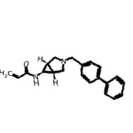 C=CC(=O)N[C@H]1[C@@H]2CN(Cc3ccc(-c4ccccc4)cc3)C[C@@H]21